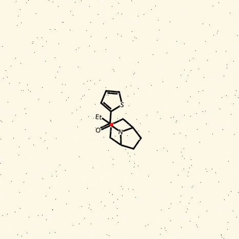 CCN1CC2CCC(C1)N2C(=O)c1cccs1